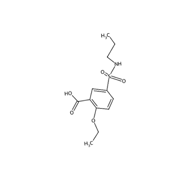 CCCNS(=O)(=O)c1ccc(OCC)c(C(=O)O)c1